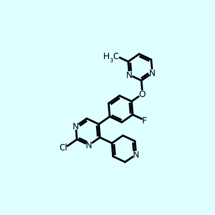 Cc1ccnc(Oc2ccc(-c3cnc(Cl)nc3C3=CCN=CC3)cc2F)n1